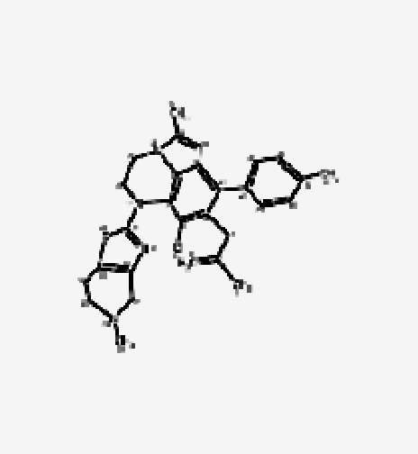 C=C(C)Cc1c(Cl)c2c3c(cc(C)n3CCN2c2nc3c(s2)CCN(C)C3)c1-c1ccc(C)cc1